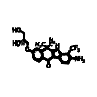 CC1(C)c2cc(OC[C@H](O)CO)ccc2C(=O)c2c1[nH]c1c(C(F)(F)F)c(N)ccc21